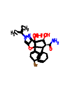 CC(C)n1cc2c(n1)[C@]1(O)[C@H](O)[C@H](C(N)=O)[C@@H](c3ccccc3)[C@]1(c1ccc(Br)cc1)O2